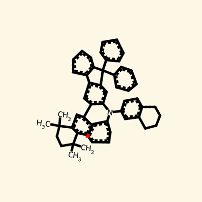 CC1(C)CCC(C)(C)c2cc(-c3cc4c(cc3N(c3ccccc3)c3ccc5c(c3)CCCC5)C(c3ccccc3)(c3ccccc3)c3ccccc3-4)ccc21